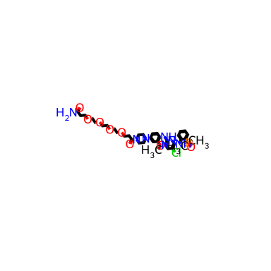 COc1cc(N2CCN(C(=O)CCOCCOCCOCCOCCC(N)=O)CC2)ccc1Nc1ncc(Cl)c(Nc2ccccc2P(C)(C)=O)n1